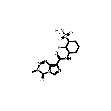 Cn1nnc2c(C(=O)NC3CCCC(S(N)(=O)=O)C3F)ncn2c1=O